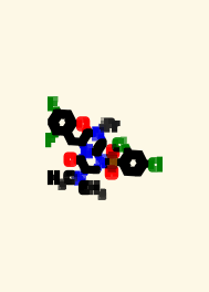 CC(C)N1C=C2N(C(=O)C(N(C)C)CN2S(=O)(=O)c2ccc(Cl)cc2Cl)C(Cc2ccc(F)cc2F)C1=O